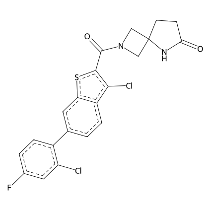 O=C1CCC2(CN(C(=O)c3sc4cc(-c5ccc(F)cc5Cl)ccc4c3Cl)C2)N1